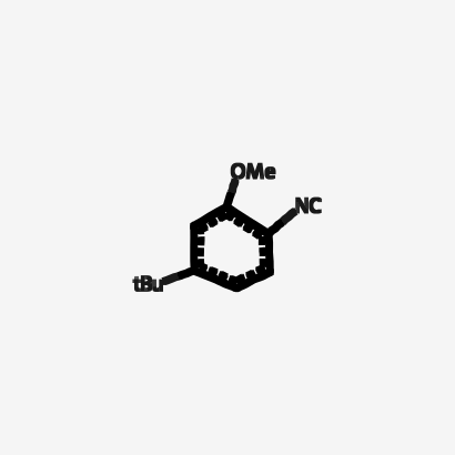 [C-]#[N+]c1ccc(C(C)(C)C)cc1OC